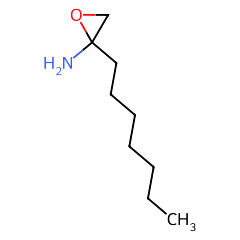 CCCCCCCC1(N)CO1